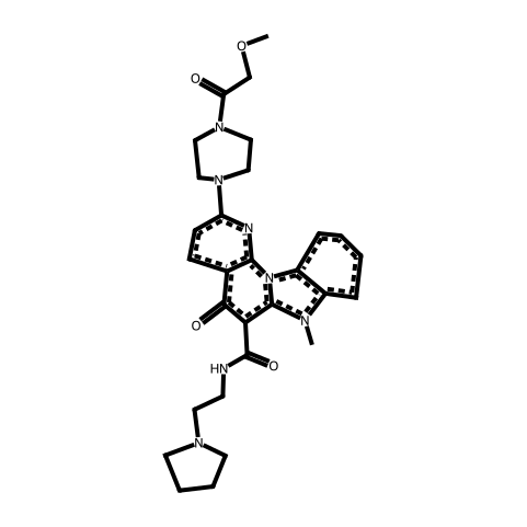 COCC(=O)N1CCN(c2ccc3c(=O)c(C(=O)NCCN4CCCC4)c4n(C)c5ccccc5n4c3n2)CC1